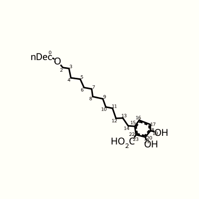 CCCCCCCCCCOCCCCCCCCCCCCCc1ccc(O)c(O)c1C(=O)O